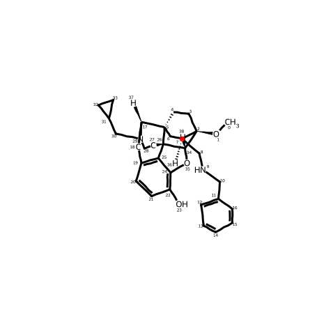 CO[C@]12CC[C@@]3(C[C@@H]1CNCc1ccccc1)[C@H]1Cc4ccc(O)c5c4[C@@]3(CCN1CC1CC1)[C@H]2O5